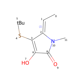 C/C=C1/C(SC(C)(C)C)=C(O)C(=O)N1C